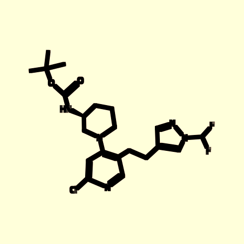 CC(C)(C)OC(=O)N[C@H]1CCCN(c2cc(Cl)ncc2CCc2cnn(C(F)F)c2)C1